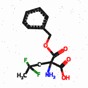 CC(F)(F)CC(N)(C(=O)O)C(=O)OCc1ccccc1